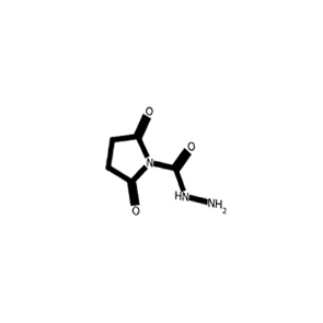 NNC(=O)N1C(=O)CCC1=O